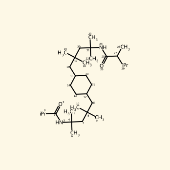 CC(C)C(=O)NC(C)(C)CC(C)(C)CC1CCC(CC(C)(C)CC(C)(C)NC(=O)C(C)C(C)C)CC1